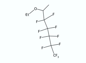 C[CH]OC(C)C(F)(F)C(F)(F)C(F)(F)C(F)(F)C(F)(F)F